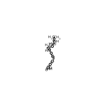 Cc1c(NC(=O)c2cc3c([nH]2)CC(C)(C)C3)cccc1-c1ncnc2[nH]c(-c3ccc(N4CCN(CC5CCN(c6ccc(N7CCC(=O)NC7=O)cc6)CC5)CC4)cc3)cc12